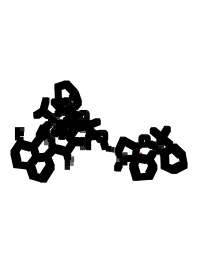 CC(C)[Si](C#Cc1c(F)ccc2cccc(-c3ncc4c(N5CC6CCC(C5)N6C(=O)OC(C)(C)C)nc(OC[C@@H]5C[C@@H](O[Si](c6ccccc6)(c6ccccc6)C(C)(C)C)CN5C)nc4c3F)c12)(C(C)C)C(C)C